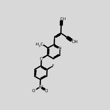 C#CC(C#C)=Cc1nccc(Oc2ccc([N+](=O)[O-])cc2F)c1C